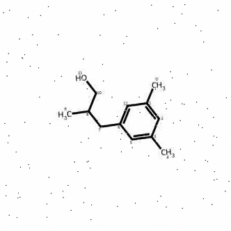 Cc1cc(C)cc(CC(C)CO)c1